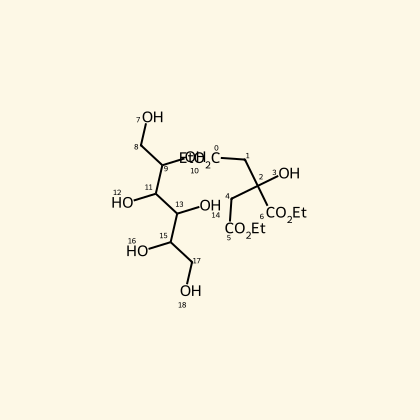 CCOC(=O)CC(O)(CC(=O)OCC)C(=O)OCC.OCC(O)C(O)C(O)C(O)CO